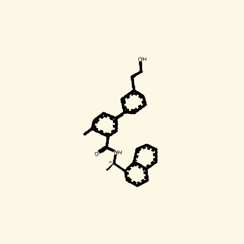 Cc1ccc(-c2cccc(CCO)c2)cc1C(=O)N[C@H](C)c1cccc2ccccc12